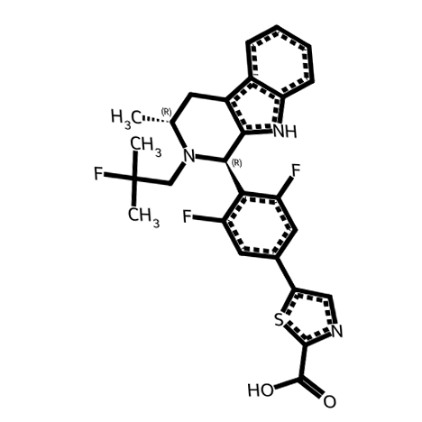 C[C@@H]1Cc2c([nH]c3ccccc23)[C@@H](c2c(F)cc(-c3cnc(C(=O)O)s3)cc2F)N1CC(C)(C)F